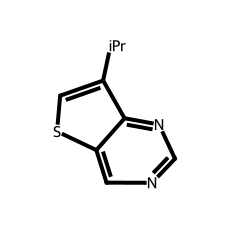 CC(C)c1csc2cncnc12